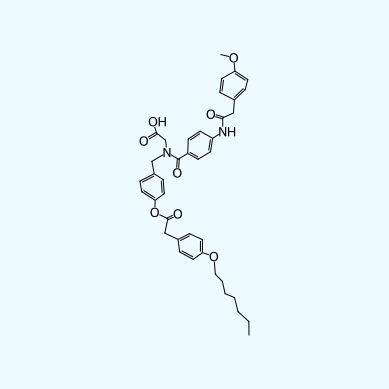 CCCCCCCOc1ccc(CC(=O)Oc2ccc(CN(CC(=O)O)C(=O)c3ccc(NC(=O)Cc4ccc(OC)cc4)cc3)cc2)cc1